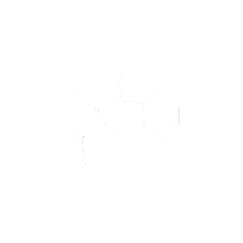 CCN(c1ccccc1)[N+](CC)=C(C(C)=O)C(N)=O